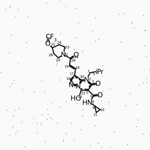 CC(C)Cn1c(=O)c(C(=O)NC2CC2)c(O)n2ncc(C=CC(=O)N3CCC(OC(F)(F)F)CC3)c12